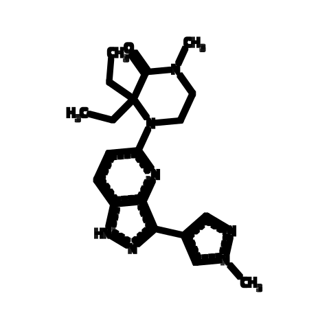 CCC1(CC)C(=O)N(C)CCN1c1ccc2[nH]nc(-c3cnn(C)c3)c2n1